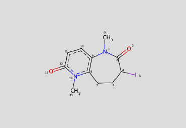 CN1C(=O)C(I)CCc2c1ccc(=O)n2C